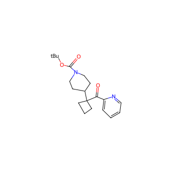 CC(C)(C)OC(=O)N1CCC(C2(C(=O)c3ccccn3)CCC2)CC1